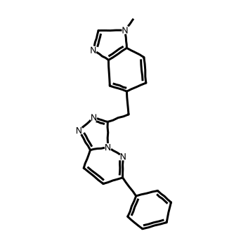 Cn1cnc2cc(Cc3nnc4ccc(-c5ccccc5)nn34)ccc21